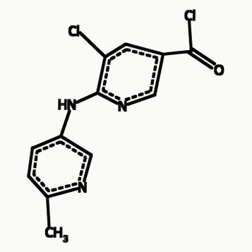 Cc1ccc(Nc2ncc(C(=O)Cl)cc2Cl)cn1